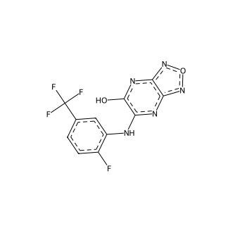 Oc1nc2nonc2nc1Nc1cc(C(F)(F)F)ccc1F